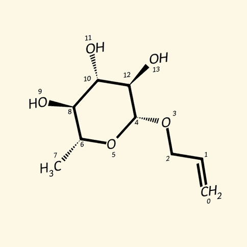 C=CCO[C@@H]1O[C@H](C)[C@@H](O)[C@H](O)[C@H]1O